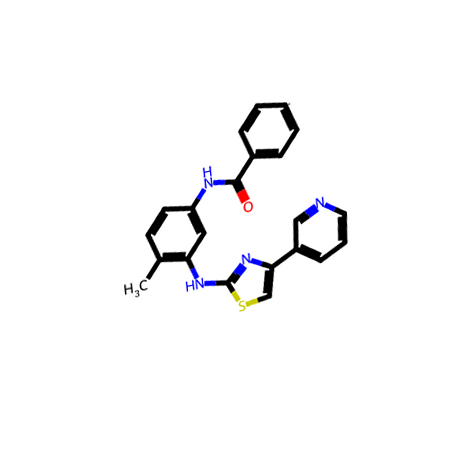 Cc1ccc(NC(=O)c2cc[c]cc2)cc1Nc1nc(-c2cccnc2)cs1